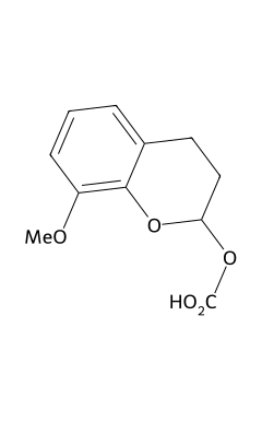 COc1cccc2c1OC(OC(=O)O)CC2